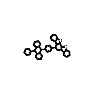 c1ccc(-c2c3ccccc3c(-c3ccc(-c4cc5c6ccccc6oc5c5oc6ccccc6c45)cc3)c3ccccc23)cc1